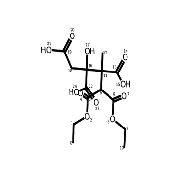 CCOC(=O)C(C(=O)OCC)C(C)(C(=O)O)C(O)(CC(=O)O)C(=O)O